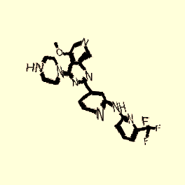 COc1cncc2nc(-c3ccnc(Nc4cccc(C(F)(F)F)n4)c3)nc(N3CCNCC3)c12